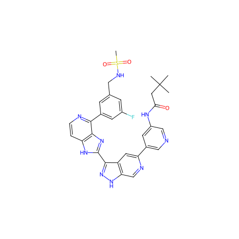 CC(C)(C)CC(=O)Nc1cncc(-c2cc3c(-c4nc5c(-c6cc(F)cc(CNS(C)(=O)=O)c6)nccc5[nH]4)n[nH]c3cn2)c1